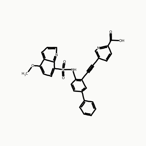 COc1ccc(S(=O)(=O)Nc2ccc(-c3ccccc3)cc2C#Cc2ccc(C(=O)O)nc2)c2ncccc12